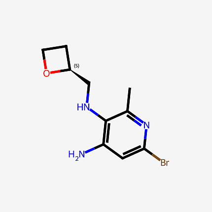 Cc1nc(Br)cc(N)c1NC[C@@H]1CCO1